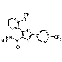 CCCNC(=O)c1nc(-c2ccc(C(F)(F)F)cc2)oc1-c1ccccc1OC(F)(F)F